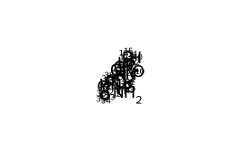 N=C(N)c1csc(CNC(=O)[C@@H]2C[C@@H]3CCCC[C@@H]3N2C(=O)CNC(=O)c2ccc(Oc3ccccc3)cc2)c1